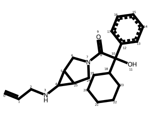 C=CCNC1C2CN(C(=O)C(O)(c3ccccc3)C3CCCCC3)CC21